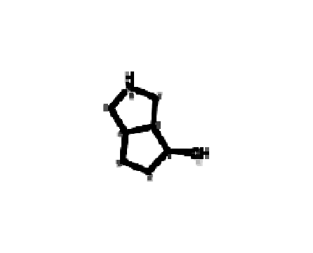 O[C@H]1CCC2CNCC21